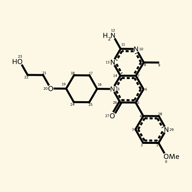 COc1ccc(-c2cc3c(C)nc(N)nc3n(C3CCC(OCCO)CC3)c2=O)cn1